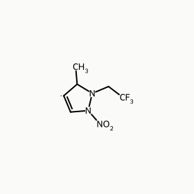 CC1[C]=CN([N+](=O)[O-])N1CC(F)(F)F